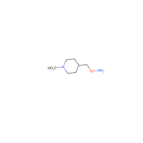 NOCC1CCN(C(=O)O)CC1